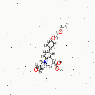 CCCOCCOc1ccc(-c2ccc3c(c2)C=C(C(=O)OC)CCN3Cc2ccoc2)cc1